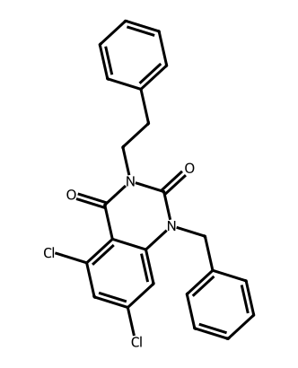 O=c1c2c(Cl)cc(Cl)cc2n(Cc2ccccc2)c(=O)n1CCc1ccccc1